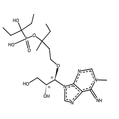 CCC(C)(CCO[C@H]([C@H](O)CO)n1cnc2c(=N)n(C)cnc21)OP(=O)(O)C(O)(CC)CC